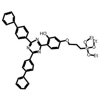 CCO[Si](CCCOc1ccc(-c2nc(-c3ccc(-c4ccccc4)cc3)nc(-c3ccc(-c4ccccc4)cc3)n2)c(O)c1)(OCC)OCC